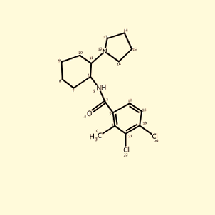 Cc1c(C(=O)NC2CCCCC2N2CCCC2)ccc(Cl)c1Cl